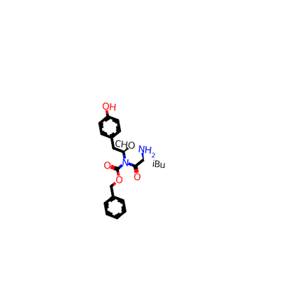 CC[C@H](C)[C@H](N)C(=O)N(C(=O)OCc1ccccc1)[C@H](C=O)Cc1ccc(O)cc1